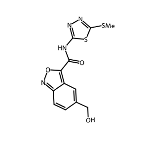 CSc1nnc(NC(=O)c2onc3ccc(CO)cc23)s1